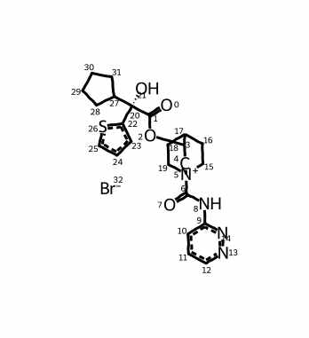 O=C(OC1C[N+]2(C(=O)Nc3cccnn3)CCC1CC2)[C@@](O)(c1cccs1)C1CCCC1.[Br-]